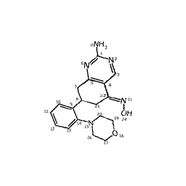 Nc1ncc2c(n1)CC(c1ccccc1N1CCOCC1)CC2=NO